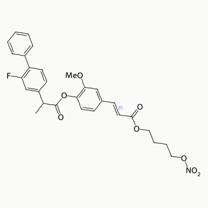 COc1cc(/C=C/C(=O)OCCCCO[N+](=O)[O-])ccc1OC(=O)C(C)c1ccc(-c2ccccc2)c(F)c1